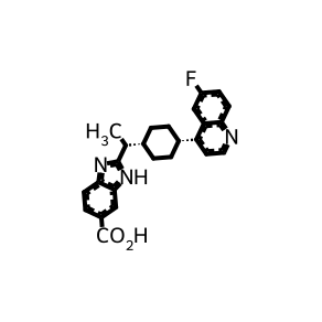 CC(c1nc2ccc(C(=O)O)cc2[nH]1)[C@H]1CC[C@@H](c2ccnc3ccc(F)cc32)CC1